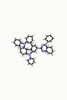 c1ccc(-c2nc(-c3cc4c5ccccc5n5c6ccccc6c6ccc7c(c4c(c3)n7-c3ccccc3)c65)nc3ccccc23)cc1